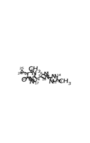 CC1=Nc2c(-c3cnn(-c4ncc(C)cn4)c3)cnn2C(=O)C1C1CC1